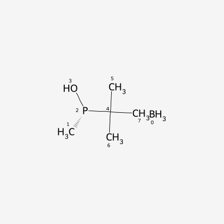 B.C[P@](O)C(C)(C)C